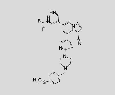 CSc1ccc(CN2CCN(c3ccc(-c4cc(/C(C=N)=C/NC(F)F)cn5ncc(C#N)c45)cn3)CC2)cc1